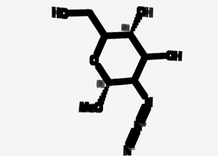 CO[C@@H]1OC(CO)[C@H](O)C(O)C1N=[N+]=[N-]